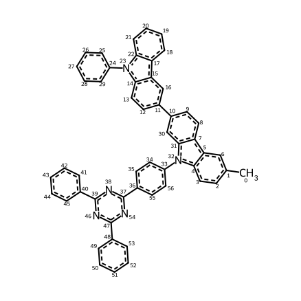 Cc1ccc2c(c1)c1ccc(-c3ccc4c(c3)c3ccccc3n4-c3ccccc3)cc1n2-c1ccc(-c2nc(-c3ccccc3)nc(-c3ccccc3)n2)cc1